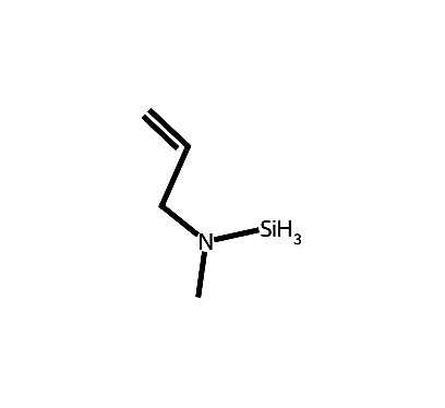 C=CCN(C)[SiH3]